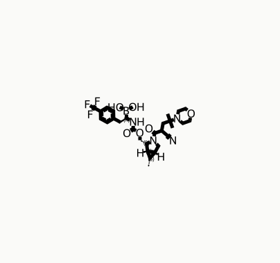 C[C@H]1[C@H]2CN(C(=O)C(C#N)CC(C)(C)N3CCOCC3)[C@@H](COC(=O)N[C@@H](Cc3ccc(C(F)(F)F)cc3)B(O)O)[C@@H]12